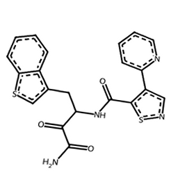 NC(=O)C(=O)C(Cc1csc2ccccc12)NC(=O)c1sncc1-c1ccccn1